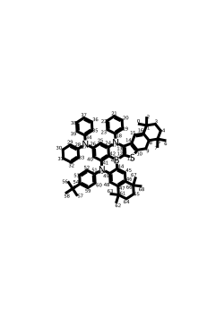 CC1(C)CCC(C)(C)C2Cc3sc4c(c3C=C21)N(c1ccccc1)c1cc(N(C2=CCCC=C2)c2ccccc2)cc2c1B4c1cc3c(cc1N2c1ccc(C(C)(C)C)cc1)C(C)(C)CCC3(C)C